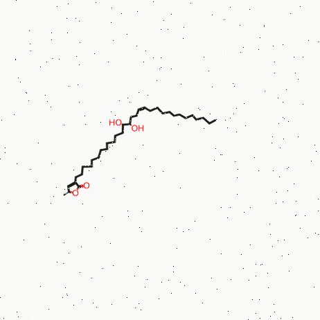 CCCCCCCCCCCC/C=C\CC[C@@H](O)[C@H](O)CCCCCCCCCCCCC1=C[C@H](C)OC1=O